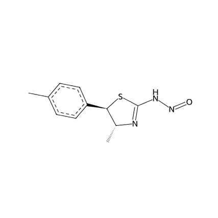 Cc1ccc([C@H]2SC(NN=O)=N[C@@H]2C)cc1